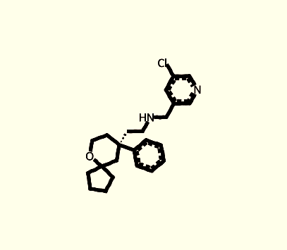 Clc1cncc(CNCC[C@@]2(c3ccccc3)CCOC3(CCCC3)C2)c1